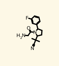 CC(C)(C#N)C1CCC(c2cccc(F)c2)N1C(=O)CN